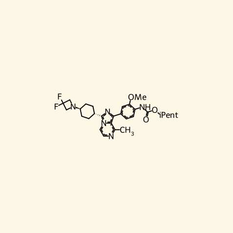 CCCC(C)OC(=O)Nc1ccc(-c2nc([C@H]3CC[C@H](N4CC(F)(F)C4)CC3)n3ccnc(C)c23)cc1OC